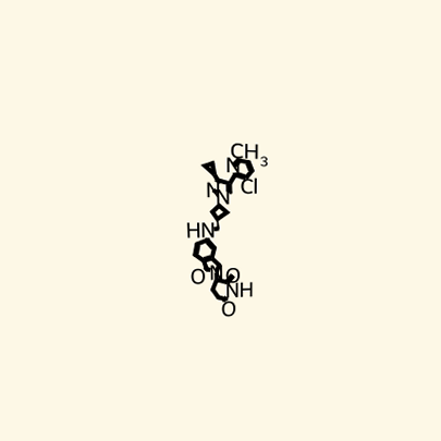 Cc1ccc(Cl)c(-c2cn([C@H]3C[C@H](CNc4ccc5c(c4)CN(C4CCC(=O)NC4=O)C5=O)C3)nc2C2CC2)n1